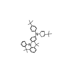 CC(C)(C)C1=CCC(N(c2ccc(C(C)(C)C)cc2)c2ccc3c(c2)C(C)(C)c2cccc4c2N3c2ccccc2C4(C)C)C=C1